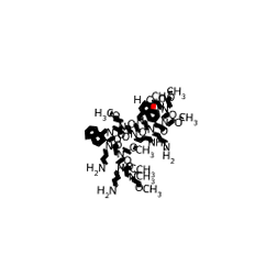 COCCN(CC(=O)N(CCCCN)CC(=O)N(CC(=O)N(CCOC)CC(=O)N(CCCCN)CC(=O)N(CC(=O)N(CCCCN)CC(=O)N(CCOC)CC(=O)N(CCOC)CC(=O)C(C)(C)C)Cc1cccc2ccccc12)Cc1cccc2ccccc12)C(=O)CN(CCCCN)C(=O)CN(CCOC)C(C)(C)C